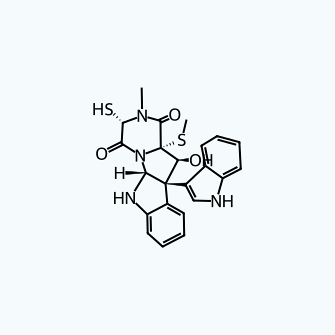 CS[C@@]12C(=O)N(C)[C@@H](S)C(=O)N1[C@H]1Nc3ccccc3[C@@]1(c1c[nH]c3ccccc13)[C@@H]2O